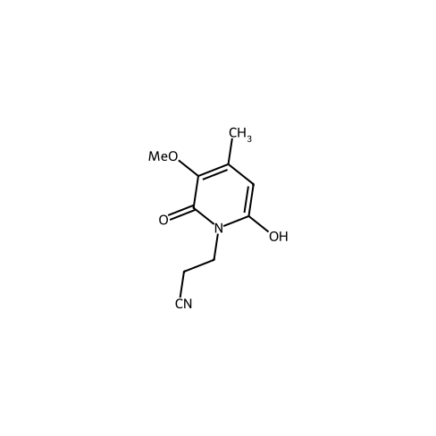 COc1c(C)cc(O)n(CCC#N)c1=O